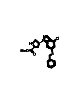 COC(=O)[C@@H]1C[C@@H](n2ncc3c(Cl)cc(SCc4ccccc4)cc32)CN1